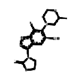 CC1CN(c2c(C=O)cc3c(N4CCSC4=O)noc3c2F)CCO1